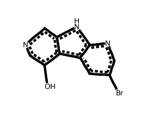 Oc1cncc2[nH]c3ncc(Br)cc3c12